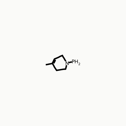 CC1=CCN(P)CC1